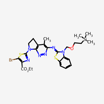 CCOC(=O)c1nc(N2CCc3c2nnc(/N=c2\sc4ccccc4n2COCC[Si](C)(C)C)c3C)sc1Br